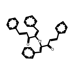 O=C(C=Cc1ccccc1)[C](=Cc1ccccc1)[Pt][C](=Cc1ccccc1)C(=O)C=Cc1ccccc1